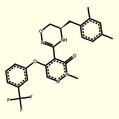 Cc1ccc(C[C@@H]2CON=C(c3c(Oc4cccc(C(F)(F)F)c4)cnn(C)c3=O)N2)c(C)c1